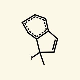 CC1(I)C=Cc2ccccc21